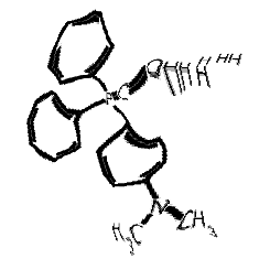 CN(C)c1ccc(P(=C=O)(c2ccccc2)c2ccccc2)cc1.[HH].[HH].[HH]